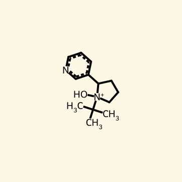 CC(C)(C)[N+]1(O)CCCC1c1cccnc1